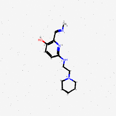 C/N=C/c1nc(NCCN2CCCCC2)ccc1O